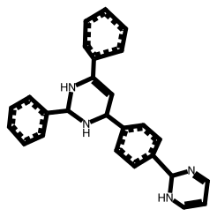 C1=CNC(c2ccc(C3C=C(c4ccccc4)NC(c4ccccc4)N3)cc2)N=C1